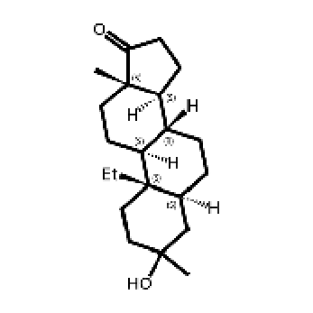 CC[C@]12CCC(C)(O)C[C@@H]1CC[C@@H]1[C@@H]2CC[C@]2(C)C(=O)CC[C@@H]12